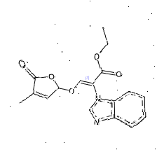 CCOC(=O)/C(=C/OC1C=C(C)C(=O)O1)n1cnc2ccccc21